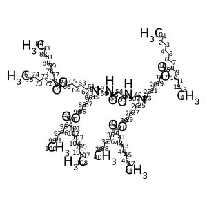 CCCCCCCCC(CCCCCC)C(=O)OCCCCCCN(CCCCCCOC(=O)C(CCCCCC)CCCCCCCC)CCNC(=O)CC(=O)NCCN(CCCCCCOC(=O)C(CCCCCC)CCCCCCCC)CCCCCCOC(=O)C(CCCCCC)CCCCCCCC